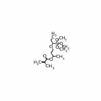 C=C(C)C(=O)OC(C)CCOC(CC)[Si](OC)(OC)OC